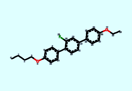 CCCCOc1ccc(-c2ccc(-c3ccc(OCC)cc3)cc2F)cc1